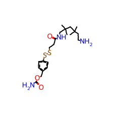 CC(C)(CCN)CC(C)(C)CNC(=O)CCSSc1ccc(COC(N)=O)cc1